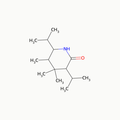 CC(C)C1NC(=O)C(C(C)C)C(C)(C)C1C